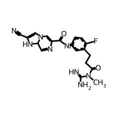 CN(C(=N)N)C(=O)CCc1cc(NC(=O)C2=CN3C=C(C#N)NC3C=N2)ccc1F